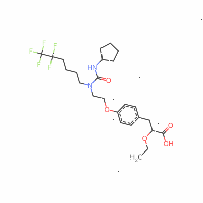 CCOC(Cc1ccc(OCCN(CCCCC(F)(F)C(F)(F)F)C(=O)NC2CCCC2)cc1)C(=O)O